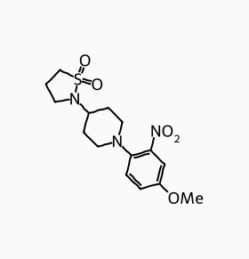 COc1ccc(N2CCC(N3CCCS3(=O)=O)CC2)c([N+](=O)[O-])c1